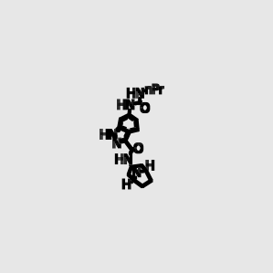 CCCNC(=O)Nc1ccc2c(C(=O)N[C@H]3C[C@H]4CC[C@@H](C3)N4C)n[nH]c2c1